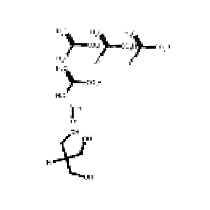 C=C(C)C(=O)O.C=C(C)C(=O)O.C=C(C)C(=O)O.C=C(C)C(=O)O.CCC.CCC(CO)(CO)CO